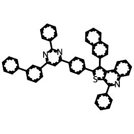 c1ccc(-c2cccc(-c3cc(-c4ccc(-c5sc6c(-c7ccccc7)nc7ccccc7c6c5-c5ccc6ccccc6c5)cc4)nc(-c4ccccc4)n3)c2)cc1